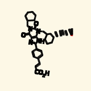 C=C.C=C.C=C.C=C.C=C.C=C.O=C(O)/C=C/c1ccc(-c2nc3c(=O)n(CC4CCCCC4)c(=O)n(CC4CCCCC4)c3[nH]2)cc1